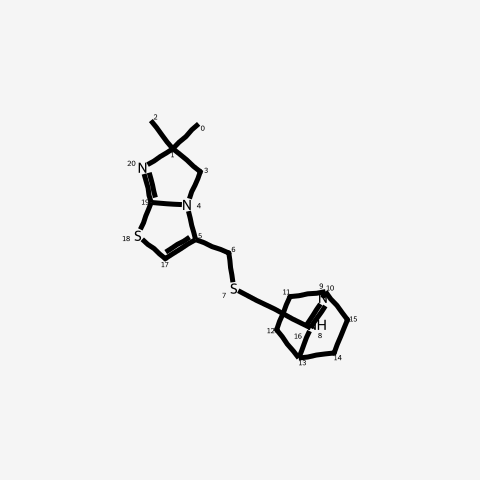 CC1(C)CN2C(CSC3=NC4CCC(CC4)N3)=CSC2=N1